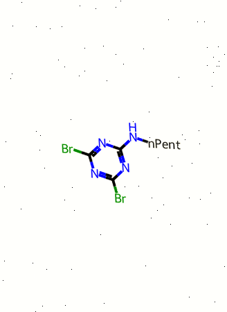 CCCCCNc1nc(Br)nc(Br)n1